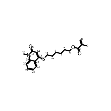 C=C(C)C(=O)OCCCCCCSc1cc(=O)n(C)c2ccccc12